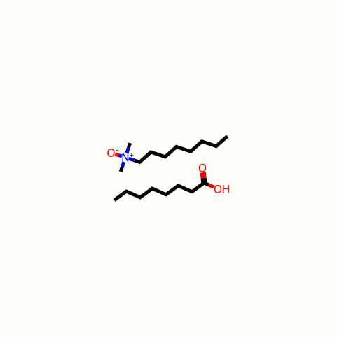 CCCCCCCC(=O)O.CCCCCCCC[N+](C)(C)[O-]